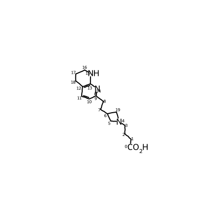 O=C(O)CCCN1CC(CCc2ccc3c(n2)NCCC3)C1